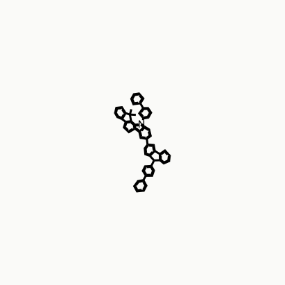 CC1(C)c2ccccc2-c2ccc3c4cc(-c5ccc6c(c5)-c5ccccc5C6c5ccc(-c6ccccc6)cc5)ccc4n(-c4cccc(-c5ccccc5)c4)c3c21